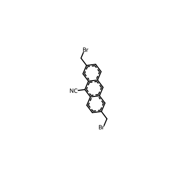 N#Cc1c2ccc(CBr)cc2cc2ccc(CBr)cc12